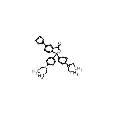 CCN(CC)c1ccc(C2(c3ccc(N(CC)CC)cc3)OC(=O)c3cc(-c4cccs4)ccc32)cc1